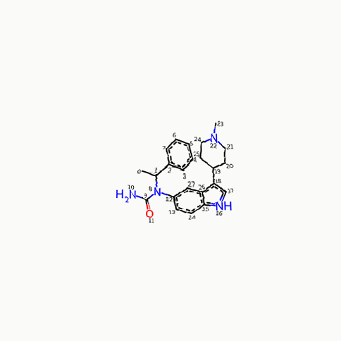 CC(c1ccccc1)N(C(N)=O)c1ccc2[nH]cc(C3CCN(C)CC3)c2c1